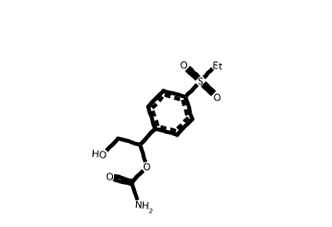 CCS(=O)(=O)c1ccc(C(CO)OC(N)=O)cc1